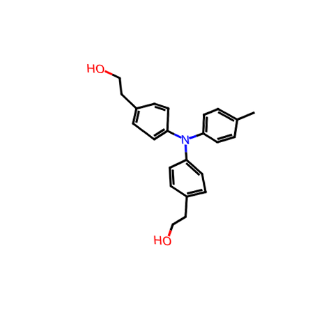 Cc1ccc(N(c2ccc(CCO)cc2)c2ccc(CCO)cc2)cc1